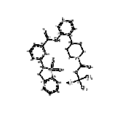 CC(C)(C)OC(=O)N1CCN(c2ccncc2NC(=O)c2cccc(N3Cc4ccccc4S3(=O)=O)n2)CC1